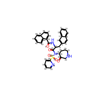 O=C(NC(Cc1ccc2ccccc2c1)C(=O)N([C@H]1CCCNCC1=O)S(=O)(=O)c1ccccn1)c1cccc2ccccc12